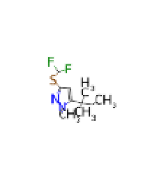 CCC(C)(C)c1cc(SC(F)F)nn1C